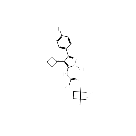 Cn1nc(-c2ccc(F)cc2)c(C2CCC2)c1NC(=O)C[C@H]1CC(F)(F)C1(F)F